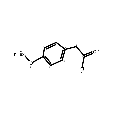 CCCCCCOc1ccc(CC(=O)Cl)cc1